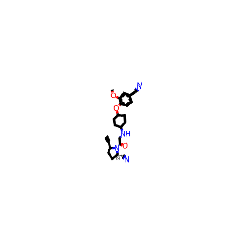 C#CC1CC[C@@H](C#N)N1C(=O)CNC1CCC(Oc2ccc(C#N)cc2OC)CC1